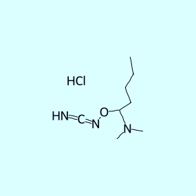 CCCCC(ON=C=N)N(C)C.Cl